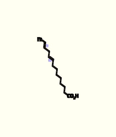 CC/C=C/C/C=C/CCCCCCCC(=O)O